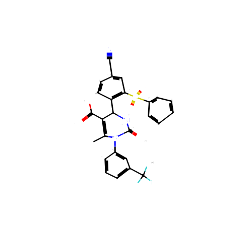 CC1=C(C(=O)O)C(c2ccc(C#N)cc2S(=O)(=O)c2ccccc2)NC(=O)N1c1cccc(C(F)(F)F)c1